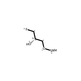 CSOC[C@H](O)CF